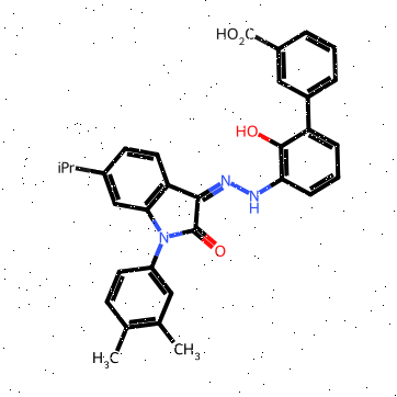 Cc1ccc(N2C(=O)C(=NNc3cccc(-c4cccc(C(=O)O)c4)c3O)c3ccc(C(C)C)cc32)cc1C